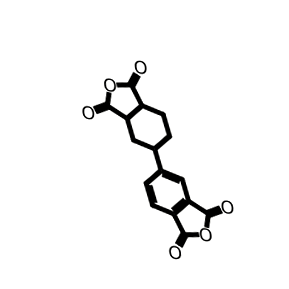 O=C1OC(=O)c2cc(C3CCC4C(=O)OC(=O)C4C3)ccc21